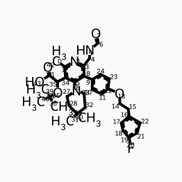 Cc1nc(CNC=O)c(-c2ccc(OCCc3ccc(F)cc3)cc2)c(N2CCC(C)(C)CC2)c1C(OC(C)(C)C)C(=O)O